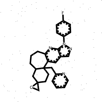 Fc1ccc(-n2ncc3cc4c(nc32)CCCC2CC3(CCC42Cc2ccccn2)CO3)cc1